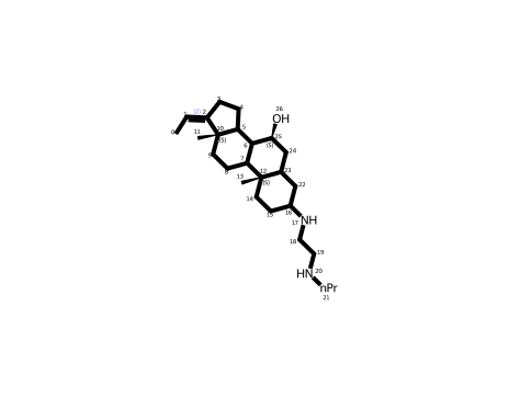 C/C=C1/CCC2C3C(CC[C@]12C)[C@@]1(C)CCC(NCCNCCC)CC1C[C@@H]3O